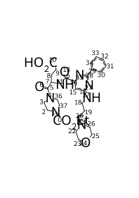 CCOC(=O)N1CCN(C(=O)C(CCC(=O)O)NC(=O)c2cc(NCCCN3CCOCC3)nc(-c3ccccc3)n2)CC1